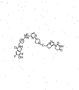 O=C1CCN(c2cnn3cc(CCCN4CCN(c5nccc(-c6nc([C@]78CC[C@](CNC(=O)c9cc(F)c(O)c(F)c9F)(CC7)CC8)no6)n5)CC4)ccc23)C(=O)N1